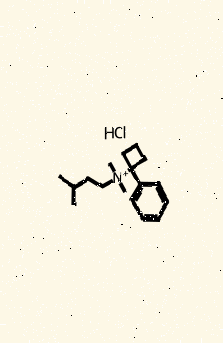 CC(C)CC[N+](C)(C)C1(c2ccccc2)CCC1.Cl